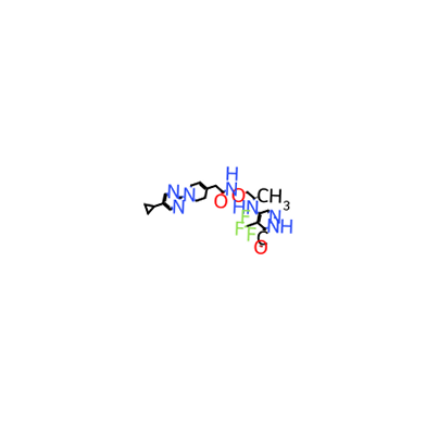 C[C@@H](CONC(=O)CC1=CCN(c2ncc(C3CC3)cn2)CC1)NC1=C(C(F)(F)F)C(=C=O)NN=C1